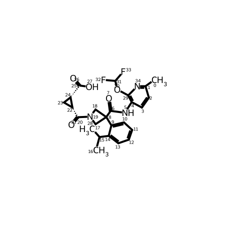 Cc1ccc(NC(=O)C2(c3ccccc3C(C)C)CN(C(=O)[C@@H]3C[C@@H]3C(=O)O)C2)c(OC(F)F)n1